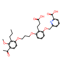 CCCc1c(OCCCOc2cccc(OCc3cccc(C(=O)O)n3)c2CCC(=O)O)ccc(C(C)=O)c1OC